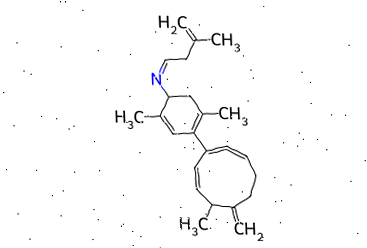 C=C(C)C/C=N\C1CC(C)=C(C2=C=CCCC(=C)C(C)/C=C\2)C=C1C